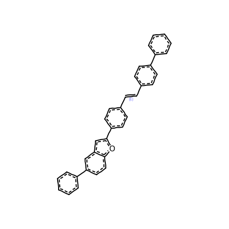 C(=C\c1ccc(-c2cc3cc(-c4ccccc4)ccc3o2)cc1)/c1ccc(-c2ccccc2)cc1